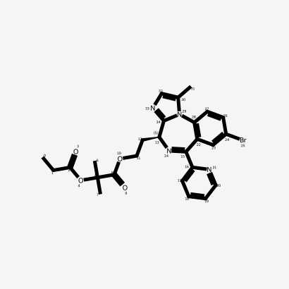 CCC(=O)OC(C)(C)C(=O)OCC[C@@H]1N=C(c2ccccn2)c2cc(Br)ccc2-n2c(C)cnc21